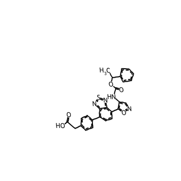 CC(OC(=O)Nc1cnoc1-c1ccc(-c2ccc(CC(=O)O)cc2)c2nsnc12)c1ccccc1